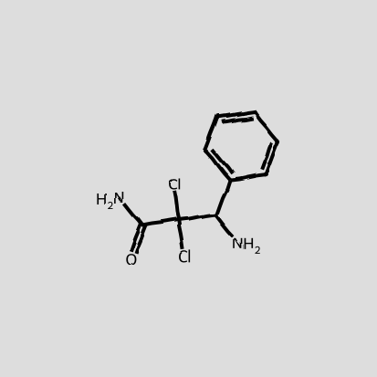 NC(=O)C(Cl)(Cl)C(N)c1ccccc1